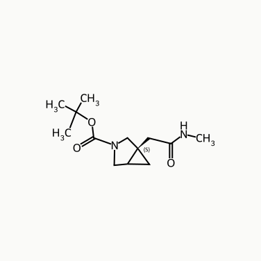 CNC(=O)C[C@@]12CC1CN(C(=O)OC(C)(C)C)C2